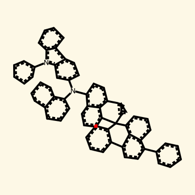 c1ccc(-c2ccc3c4c(cccc24)C2(c4ccccc4-3)c3ccccc3-c3ccc(N(c4ccc5c6ccccc6n(-c6ccccc6)c5c4)c4cccc5ccccc45)c4cccc2c34)cc1